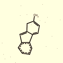 CC1=CC=C2C(=Cc3ccccc32)C1